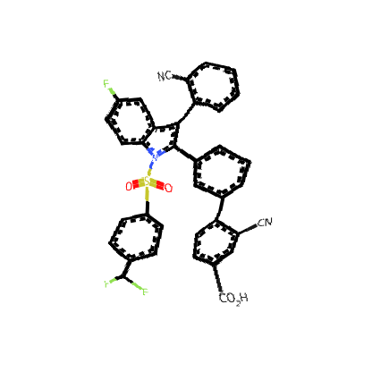 N#Cc1cc(C(=O)O)ccc1-c1cccc(-c2c(-c3ccccc3C#N)c3cc(F)ccc3n2S(=O)(=O)c2ccc(C(F)F)cc2)c1